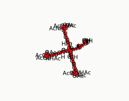 CC(=O)NC1C(OCCOCCOCCOCCNC(=O)CCOCC(COCCC(=O)NCCOCCOCCOCCOC2OC(COC(C)=O)C(OC(C)=O)C(OC(C)=O)C2NC(C)=O)(COCCC(=O)NCCOCCOCCOCCOC2OC(COC(C)=O)C(OC(C)=O)C(OC(C)=O)C2NC(C)=O)NC(=O)CCCCCn2cc(CCCCOP(O)(=S)OO)nn2)OC(COC(C)=O)C(OC(C)=O)C1OC(C)=O